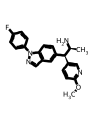 COc1ccc([C@@H](c2ccc3c(cnn3-c3ccc(F)cc3)c2)[C@H](C)N)cn1